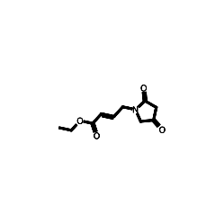 CCOC(=O)C=CCN1CC(=O)CC1=O